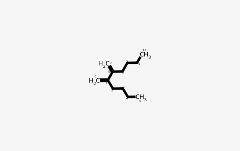 C=C(CCCC)C(=C)CCCC